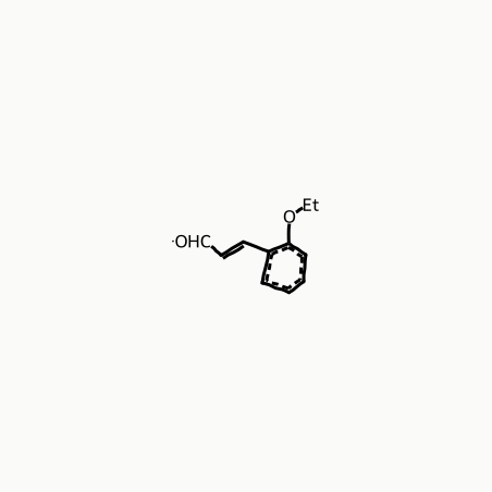 CCOc1ccccc1C=C[C]=O